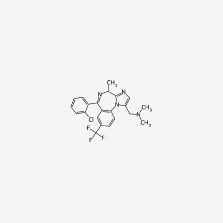 CC1N=C(c2ccccc2Cl)c2cc(C(F)(F)F)ccc2-n2c(CN(C)C)cnc21